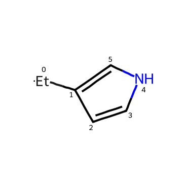 C[CH]c1cc[nH]c1